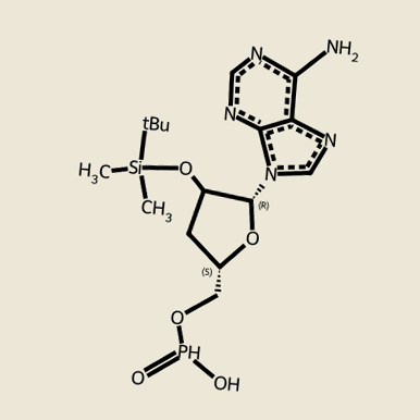 CC(C)(C)[Si](C)(C)OC1C[C@@H](CO[PH](=O)O)O[C@H]1n1cnc2c(N)ncnc21